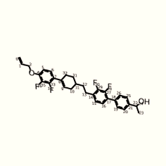 C=CCOc1ccc(C2=CCC(CCc3ccc(-c4ccc(C(C)O)cc4)c(F)c3F)CC2)c(F)c1F